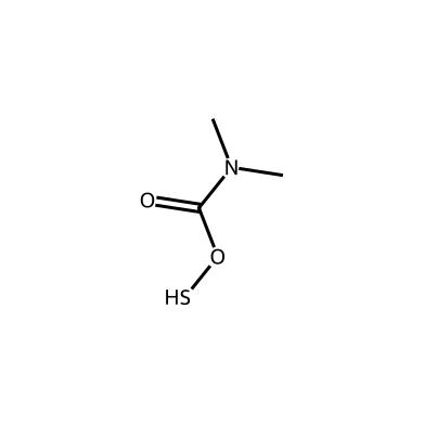 CN(C)C(=O)OS